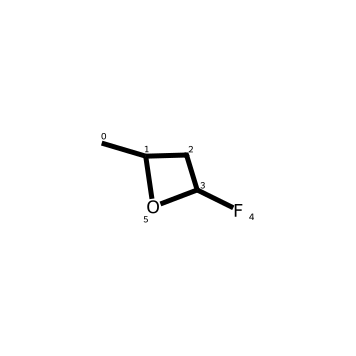 CC1CC(F)O1